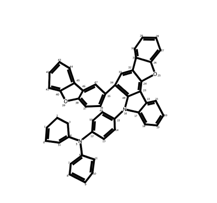 C1=CCCC(N(c2ccccc2)c2ccc(-n3c4ccccc4c4c5oc6ccccc6c5cc(-c5ccc6oc7ccccc7c6c5)c43)cc2)=C1